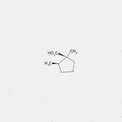 C[C@@H]1CCC[C@]1(C)C(=O)O